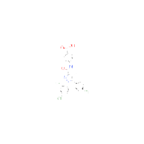 Cc1c(C(=O)Nc2ccc(C(=O)O)cc2)nn(-c2ccc(Cl)cc2Cl)c1-c1ccc(Cl)cc1